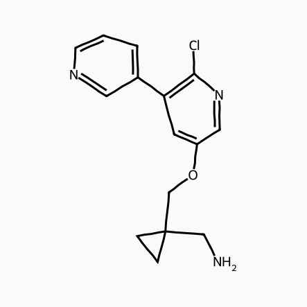 NCC1(COc2cnc(Cl)c(-c3cccnc3)c2)CC1